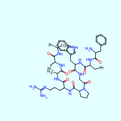 CC(C)CC(NC(=O)C(N)Cc1ccccc1)C(=O)NC(Cc1c[nH]c2ccccc12)C(=O)NCC(=O)N1CCCC1C(=O)NC(CCCN=C(N)N)C(=O)NC(C)C(=O)NC(CC(C)C)C(=O)NC(C(=O)O)C(C)C